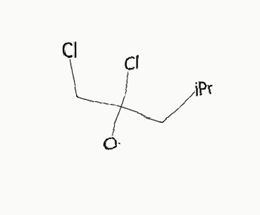 CC(C)CC([O])(Cl)CCl